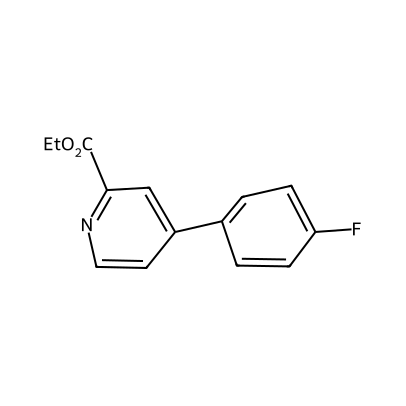 CCOC(=O)c1cc(-c2ccc(F)cc2)ccn1